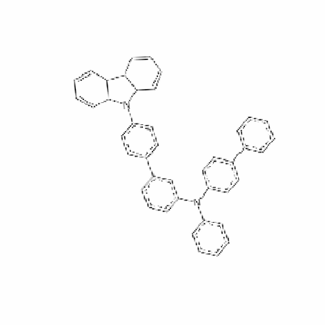 C1=CC2C3C=CC=CC3N(c3ccc(-c4cccc(N(c5ccccc5)c5ccc(-c6ccccc6)cc5)c4)cc3)C2C=C1